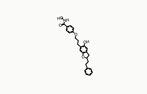 O=C(NO)c1ccc(OCCCc2cc3c(cc2O)CC(CCc2ccccc2)O3)cc1